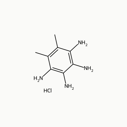 Cc1c(C)c(N)c(N)c(N)c1N.Cl